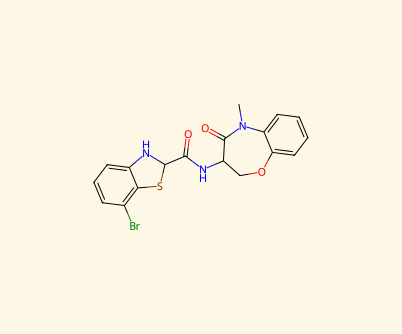 CN1C(=O)C(NC(=O)C2Nc3cccc(Br)c3S2)COc2ccccc21